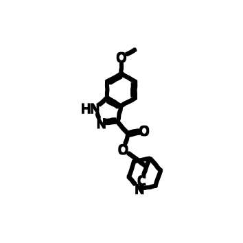 COc1ccc2c(C(=O)OC3CN4CCC3CC4)n[nH]c2c1